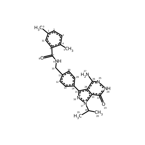 Cc1ccc(C)c(C(=O)NCc2ccc(-c3nn(C(C)C)c4c(=O)[nH]nc(N)c34)cc2)c1